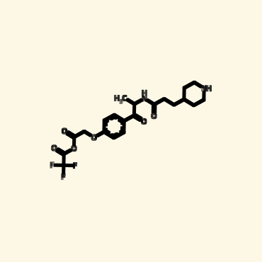 CC(NC(=O)CCC1CCNCC1)C(=O)c1ccc(OCC(=O)OC(=O)C(F)(F)F)cc1